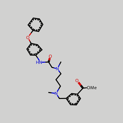 COC(=O)c1cccc(CN(C)CCCN(C)CC(=O)Nc2ccc(Oc3ccccc3)cc2)c1